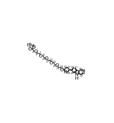 CC(C)(C)OC(=O)COCCOCCOCCOCCOCCOc1ccc(-c2ccc3c(c2)[nH]c2ccncc23)cn1